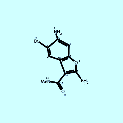 Bc1oc2cc(N)c(Br)cc2c1C(=O)NC